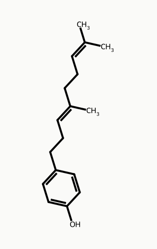 CC(C)=CCC/C(C)=C/CCc1ccc(O)cc1